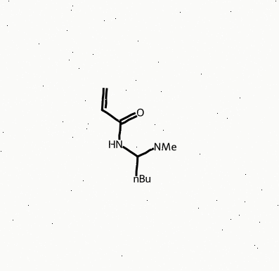 C=CC(=O)NC(CCCC)NC